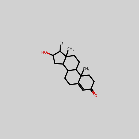 CCC1C(O)CC2C3CCC4=CC(=O)CCC4(C)C3CCC12C